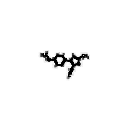 [C-]#[N+]c1sc(C)nc1-c1ccc(OC)cc1